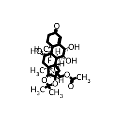 CC(=O)OCC(=O)[C@@]12OC(C)(C)O[C@@H]1C[C@H]1[C@@H]3[C@@H](O)[C@@H](O)C4=CC(=O)CC[C@]4(C)[C@@]3(F)[C@@H](O)C[C@@]12C